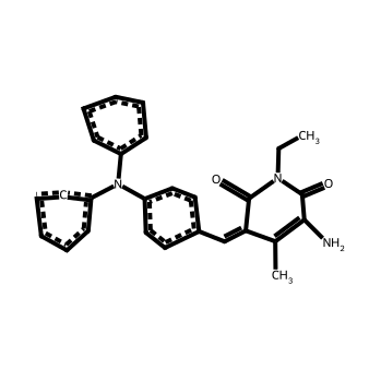 CCN1C(=O)C(N)=C(C)/C(=C/c2ccc(N(c3ccccc3)c3ccccc3)cc2)C1=O